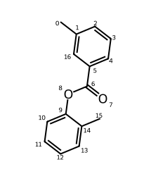 Cc1cccc(C(=O)Oc2ccccc2C)c1